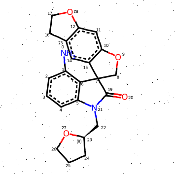 Nc1cccc2c1C1(COc3cc4c(cc31)CCO4)C(=O)N2C[C@H]1CCCO1